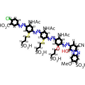 COc1cc2c(cc1S(=O)(=O)O)nc1c(C#N)c(C)c(N=Nc3cc(NC(C)=O)c(N=Nc4cc(NC(C)=O)c(N=Nc5cc(NC(C)=O)c(N=Nc6ccc(Cl)c(C(=O)O)c6)cc5SCCCS(=O)(=O)O)cc4SCCCS(=O)(=O)O)cc3OCCCS(=O)(=O)O)c(O)n12